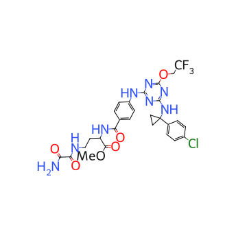 COC(=O)C(CCNC(=O)C(N)=O)NC(=O)c1ccc(Nc2nc(NC3(c4ccc(Cl)cc4)CC3)nc(OCC(F)(F)F)n2)cc1